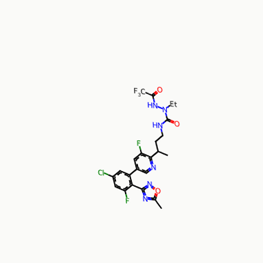 CCN(NC(=O)C(F)(F)F)C(=O)NCCC(C)c1ncc(-c2cc(Cl)cc(F)c2-c2noc(C)n2)cc1F